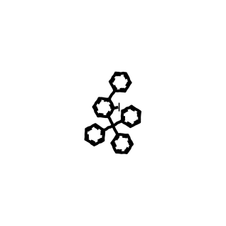 Ic1c(-c2ccccc2)cccc1C(c1ccccc1)(c1ccccc1)c1ccccc1